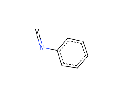 [V]=[N]c1ccccc1